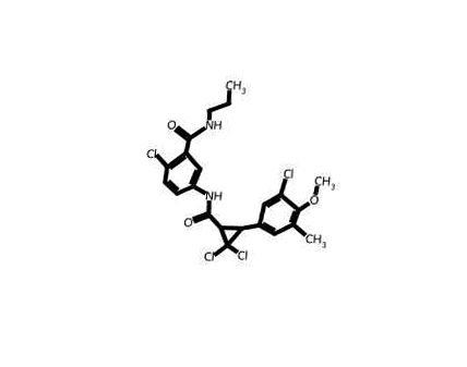 CCCNC(=O)c1cc(NC(=O)C2C(c3cc(C)c(OC)c(Cl)c3)C2(Cl)Cl)ccc1Cl